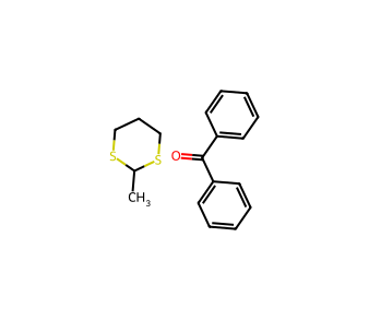 CC1SCCCS1.O=C(c1ccccc1)c1ccccc1